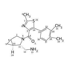 Cc1nc(C(=O)N2CC3C[C@@H]3[C@H]2CN)c(-c2ccc(C)c(C)c2)s1